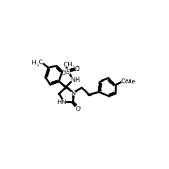 COc1ccc(CCN2C(=O)NCC2(NS(C)(=O)=O)c2ccc(C)cc2)cc1